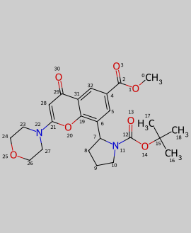 COC(=O)c1cc(C2CCCN2C(=O)OC(C)(C)C)c2oc(N3CCOCC3)cc(=O)c2c1